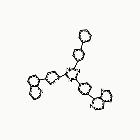 c1ccc(-c2ccc(-c3nc(-c4ccc(-c5cccc6cccnc56)cc4)nc(-c4ccc(-c5nccc6cccnc56)cc4)n3)cc2)cc1